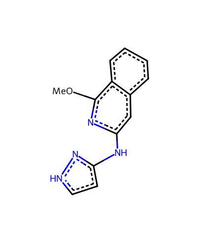 COc1nc(Nc2cc[nH]n2)cc2ccccc12